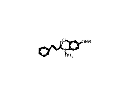 COc1ccc(N(N)C(=O)/C=C/c2ccccc2)c(Cl)c1